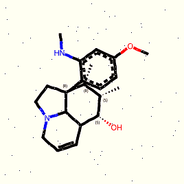 CNc1cc(OC)ccc1[C@]12CCN3CC=CC(C31)[C@@H](O)[C@@H](C)[C@H]2C